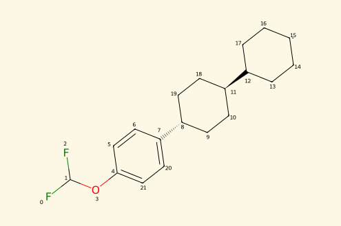 FC(F)Oc1ccc([C@H]2CC[C@H](C3CC[CH]CC3)CC2)cc1